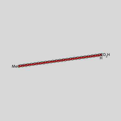 COCCOCCOCCOCCOCCOCCOCCOCCOCCOCCOCCOCCOCCOCCOCCOCCOCCOCCOCCOCCOCCOCCOCCOCCOCCOCCOCCOCCOCCOCCOCCOCCOCCOCCOCCOCCOCCOCCOCCOCCOCCOCCOCCOCCOCCOCCNC(=O)O